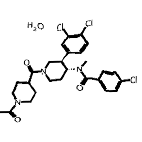 CC(=O)N1CCC(C(=O)N2CC[C@@H](N(C)C(=O)c3ccc(Cl)cc3)[C@H](c3ccc(Cl)c(Cl)c3)C2)CC1.O